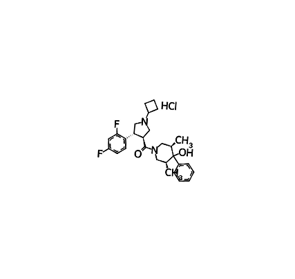 C[C@@H]1CN(C(=O)[C@@H]2CN(C3CCC3)C[C@H]2c2ccc(F)cc2F)C[C@H](C)C1(O)c1ccccc1.Cl